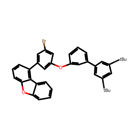 CC(C)(C)c1cc(-c2cccc(Oc3cc(Br)cc(-c4cccc5oc6ccccc6c45)c3)c2)cc(C(C)(C)C)c1